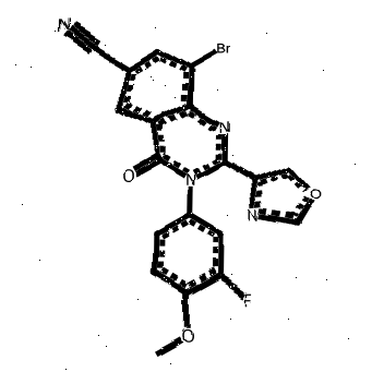 COc1ccc(-n2c(-c3cocn3)nc3c(Br)cc(C#N)cc3c2=O)cc1F